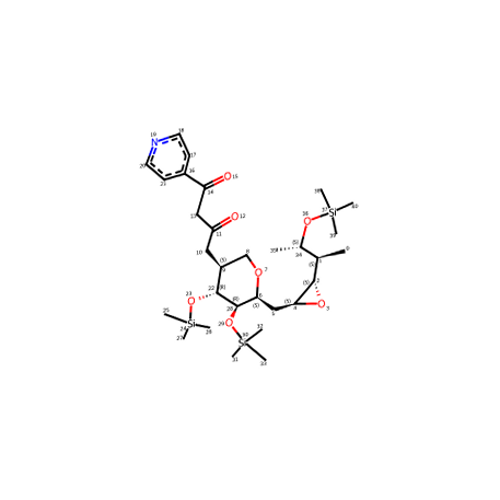 C[C@@H]([C@@H]1O[C@H]1C[C@@H]1OC[C@H](CC(=O)CC(=O)c2ccncc2)[C@@H](O[Si](C)(C)C)[C@@H]1O[Si](C)(C)C)[C@H](C)O[Si](C)(C)C